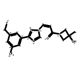 CC1(O)CN(C(=O)/C=C\n2cnc(-c3cc(CF)cc(C(F)(F)F)c3)n2)C1